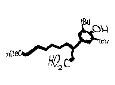 CCCCCCCCCCCCCCCCC(CC(=O)O)c1cc(C(C)(C)C)c(O)c(C(C)(C)C)c1